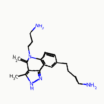 C=C1c2c(n[nH]c2C)-c2cc(CCCCN)ccc2N1CCCN